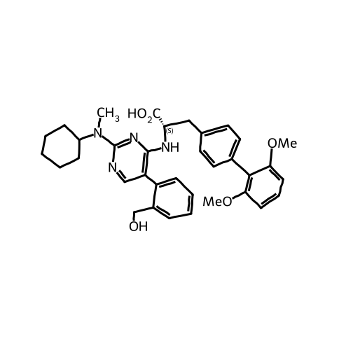 COc1cccc(OC)c1-c1ccc(C[C@H](Nc2nc(N(C)C3CCCCC3)ncc2-c2ccccc2CO)C(=O)O)cc1